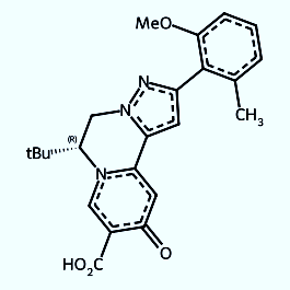 COc1cccc(C)c1-c1cc2n(n1)C[C@@H](C(C)(C)C)n1cc(C(=O)O)c(=O)cc1-2